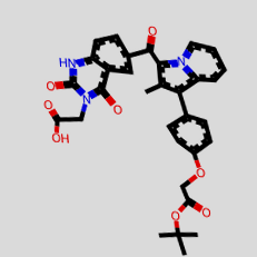 Cc1c(-c2ccc(OCC(=O)OC(C)(C)C)cc2)c2ccccn2c1C(=O)c1ccc2[nH]c(=O)n(CC(=O)O)c(=O)c2c1